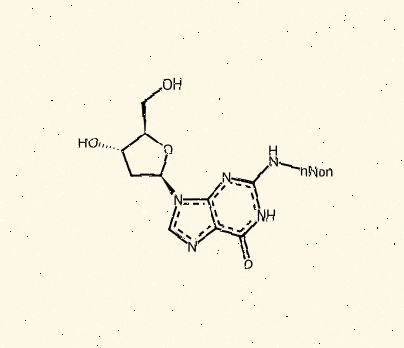 CCCCCCCCCNc1nc2c(ncn2[C@H]2C[C@H](O)[C@@H](CO)O2)c(=O)[nH]1